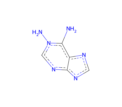 Nc1c2ncnc-2ncn1N